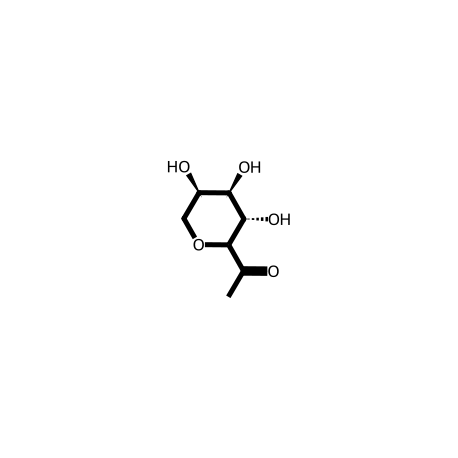 CC(=O)[C]1OC[C@@H](O)[C@@H](O)[C@@H]1O